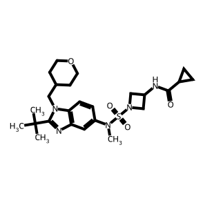 CN(c1ccc2c(c1)nc(C(C)(C)C)n2CC1CCOCC1)S(=O)(=O)N1CC(NC(=O)C2CC2)C1